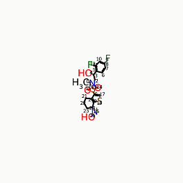 CN(CC(O)c1ccc(F)cc1F)S(=O)(=O)c1csc2c1CCC/C2=N\O